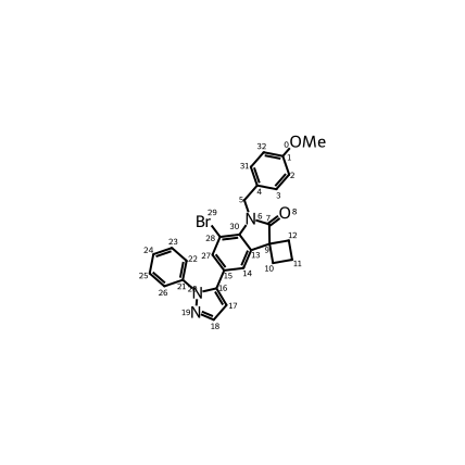 COc1ccc(CN2C(=O)C3(CCC3)c3cc(-c4ccnn4-c4ccccc4)cc(Br)c32)cc1